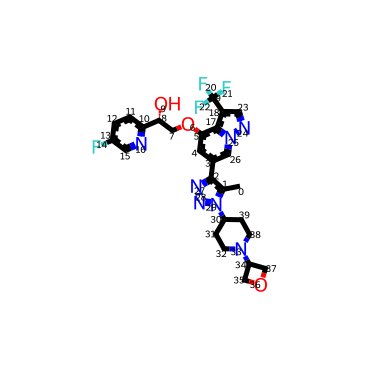 Cc1c(-c2cc(OC[C@@H](O)c3ccc(F)cn3)c3c(C(F)(F)F)cnn3c2)nnn1C1CCN(C2COC2)CC1